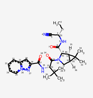 CC[C@@H](C#N)NC(=O)[C@@H]1[C@@H]2[C@H](CN1C(=O)[C@@H](NC(=O)c1cc3ccccn3n1)C(C)(C)C)C2(C)C